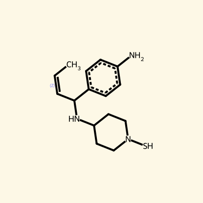 C/C=C\C(NC1CCN(S)CC1)c1ccc(N)cc1